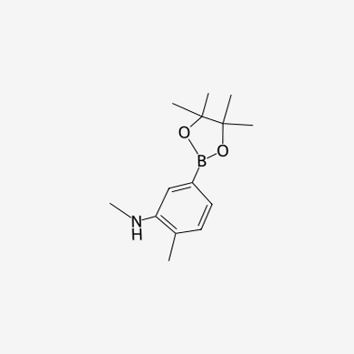 CNc1cc(B2OC(C)(C)C(C)(C)O2)ccc1C